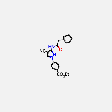 CCOC(=O)c1ccc(-n2cc(C#N)c(NC(=O)Cc3ccccc3)n2)cc1